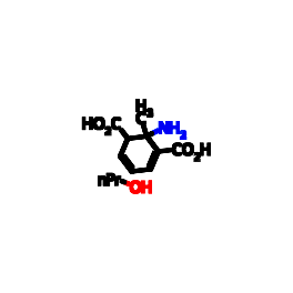 CC1(N)C(C(=O)O)=CC=CC1C(=O)O.CCCO